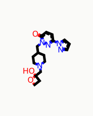 O=c1ccc(-n2cccn2)nn1CC1CCN(CC2(O)CCO2)CC1